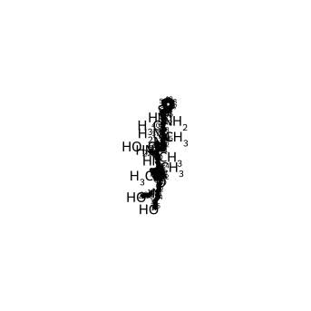 C/C(NCC12CC3(C)CC4(OCCN(CCCO)CCCO)CC(C)(C1)C324)=C(/C=N)c1ccc(N(C)/C(N)=C/C(C)=C(\N)Nc2nc3ccccc3s2)nc1C(=O)O